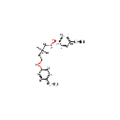 CC(C)(CCOc1ccc(C=O)cc1)CCOc1ccc(C=O)cc1